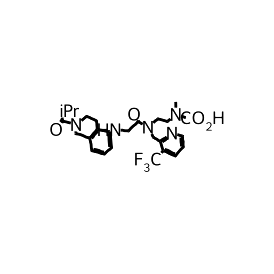 CC(C)C(=O)N1CCc2c(cccc2NCC(=O)N(CCN(C)C(=O)O)Cc2ncccc2C(F)(F)F)C1